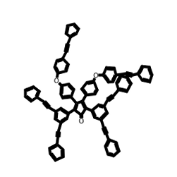 O=C1C(c2cc(C#Cc3ccccc3)cc(C#Cc3ccccc3)c2)=C(c2ccc(Oc3ccc(C#Cc4ccccc4)cc3)cc2)C(c2ccc(Oc3ccc(C#Cc4ccccc4)cc3)cc2)=C1c1cc(C#Cc2ccccc2)cc(C#Cc2ccccc2)c1